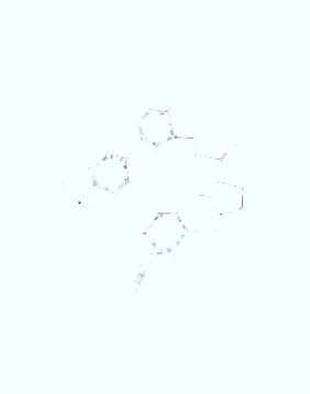 C[C@H]1CC[C@@H](C(=O)NCc2ccnc(-c3cnc(C(F)(F)F)nc3)c2)N1Sc1ccc(C#N)nc1